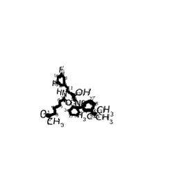 CC(=O)CCCCC(=O)NC(Cc1cc(F)cc(F)c1)C(O)CNC1(c2cccc(C(C)(C)C)c2)CCCCC1